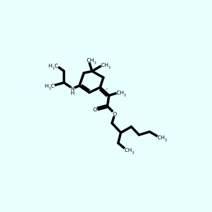 CCCCC(CC)COC(=O)/C(C)=C1\C=C(NC(C)CC)CC(C)(C)C1